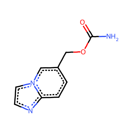 NC(=O)OCc1ccc2nccn2c1